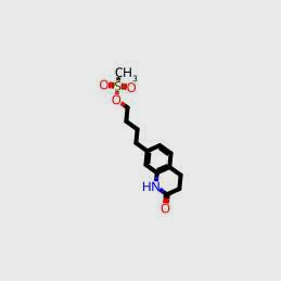 CS(=O)(=O)OCCCCc1ccc2c(c1)NC(=O)CC2